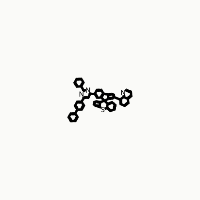 c1ccc(-c2ccc(-c3cc(-c4ccc5c(c4)C4(c6ccccc6Sc6ccccc64)c4cc(-c6cccc7cccnc67)ccc4-5)nc(-c4ccccc4)n3)cc2)cc1